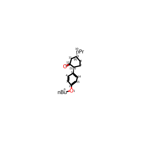 CCCCOc1ccc([C@@H]2CC[C@@H](CCC)CC2=O)cc1